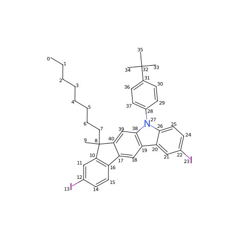 CCCCCCCCC1(C)c2cc(I)ccc2-c2cc3c4cc(I)ccc4n(-c4ccc(C(C)(C)C)cc4)c3cc21